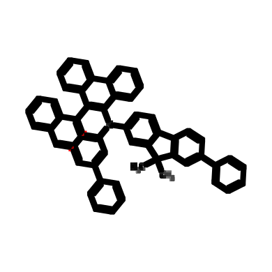 CC1(C)c2cc(-c3ccccc3)ccc2-c2ccc(N(c3cccc(-c4ccccc4)c3)c3c(-c4cccc5ccccc45)c4ccccc4c4ccccc34)cc21